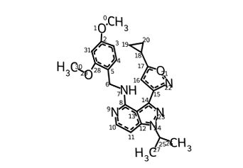 COc1ccc(CNc2nccc3c2c(-c2cc(C4CC4)on2)nn3C(C)C)c(OC)c1